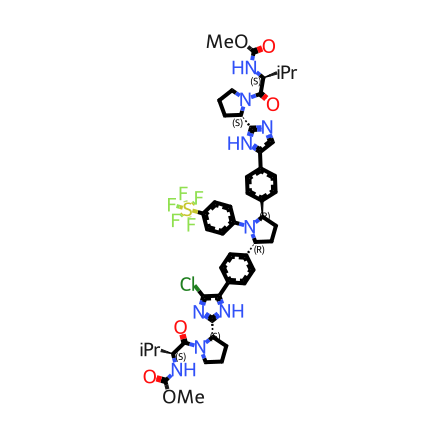 COC(=O)N[C@H](C(=O)N1CCC[C@H]1c1ncc(-c2ccc([C@H]3CC[C@H](c4ccc(-c5[nH]c([C@@H]6CCCN6C(=O)[C@@H](NC(=O)OC)C(C)C)nc5Cl)cc4)N3c3ccc(S(F)(F)(F)(F)F)cc3)cc2)[nH]1)C(C)C